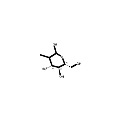 CC1C(O)O[C@H](CO)[C@@H](O)[C@@H]1O